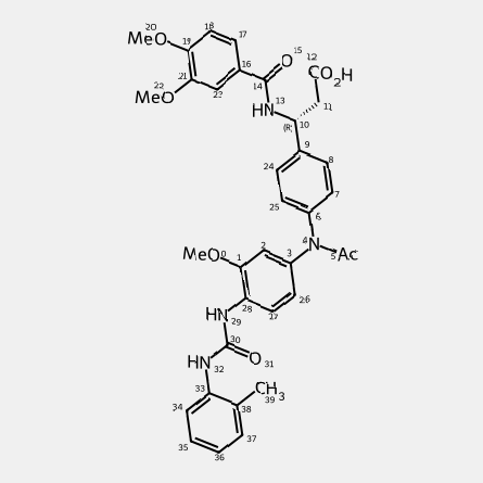 COc1cc(N(C(C)=O)c2ccc([C@@H](CC(=O)O)NC(=O)c3ccc(OC)c(OC)c3)cc2)ccc1NC(=O)Nc1ccccc1C